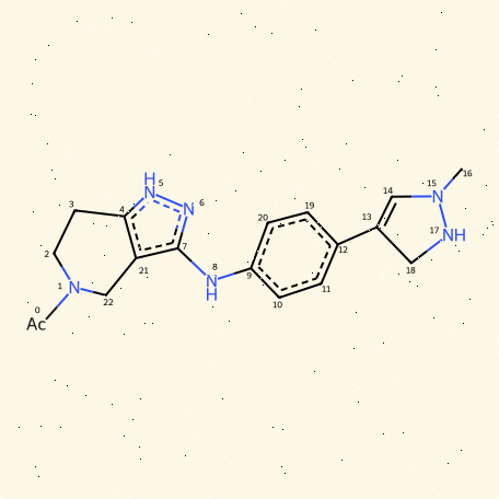 CC(=O)N1CCc2[nH]nc(Nc3ccc(C4=CN(C)NC4)cc3)c2C1